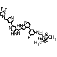 CS(=O)(=O)N(CCNc1cc(F)cc(-c2ccnc3[nH]c(-c4n[nH]c5cnc(-c6cncc(CN7CCC(F)(F)C7)c6)cc45)cc23)c1)S(C)(=O)=O